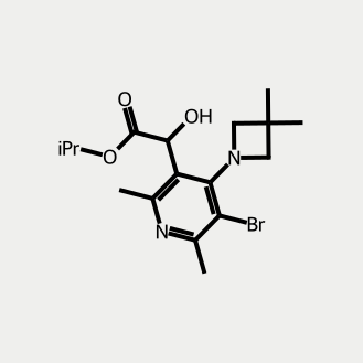 Cc1nc(C)c(C(O)C(=O)OC(C)C)c(N2CC(C)(C)C2)c1Br